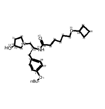 CCCCOc1ccc(C[C@@H](CN2CC[C@H](O)C2)NC(=O)CCCCCOC2CCC2)cc1